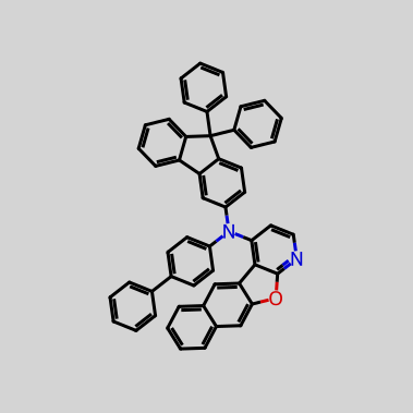 c1ccc(-c2ccc(N(c3ccc4c(c3)-c3ccccc3C4(c3ccccc3)c3ccccc3)c3ccnc4oc5cc6ccccc6cc5c34)cc2)cc1